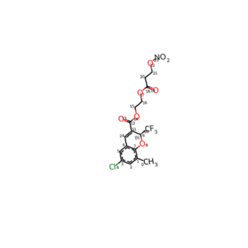 Cc1cc(Cl)cc2c1O[C@H](C(F)(F)F)C(C(=O)OCCOC(=O)CCO[N+](=O)[O-])=C2